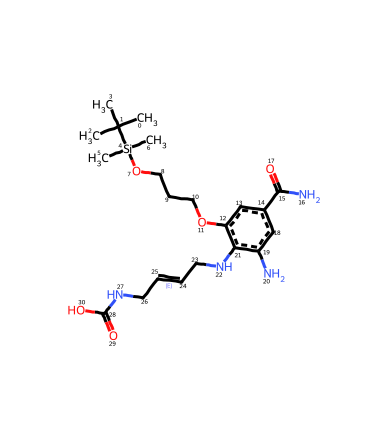 CC(C)(C)[Si](C)(C)OCCCOc1cc(C(N)=O)cc(N)c1NC/C=C/CNC(=O)O